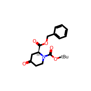 CC(C)(C)OC(=O)N1CCC(=O)C[C@H]1C(=O)OCc1ccccc1